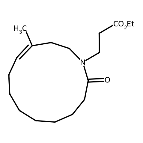 CCOC(=O)CCN1CCC(C)=CCCCCCCCC1=O